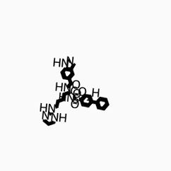 O=C(NC(CCCCNC1N=CCCN1)(NS(=O)(=O)c1ccc(-c2ccccc2)cc1)C(=O)O)c1ccc2[nH]ncc2c1